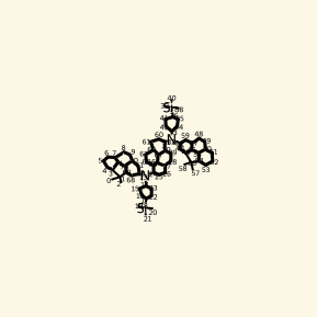 CC1(C)c2cccc3ccc4cc(N(c5ccc([Si](C)(C)C)cc5)c5ccc6ccc7c(N(c8ccc([Si](C)(C)C)cc8)c8cc9c%10c(ccc%11cccc(c%11%10)C9(C)C)c8)ccc8ccc5c6c87)cc1c4c23